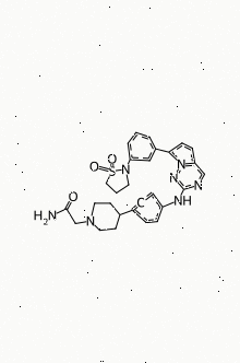 NC(=O)CN1CCC(c2ccc(Nc3ncc4ccc(-c5cccc(N6CCCS6(=O)=O)c5)n4n3)cc2)CC1